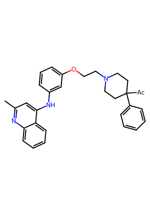 CC(=O)C1(c2ccccc2)CCN(CCOc2cccc(Nc3cc(C)nc4ccccc34)c2)CC1